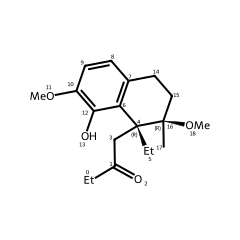 CCC(=O)C[C@]1(CC)c2c(ccc(OC)c2O)CC[C@@]1(C)OC